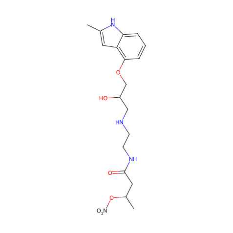 Cc1cc2c(OCC(O)CNCCNC(=O)CC(C)O[N+](=O)[O-])cccc2[nH]1